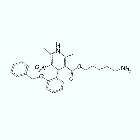 CC1=C(C(=O)OCCCCCN)C(c2ccccc2OCc2ccccc2)C([N+](=O)[O-])=C(C)N1